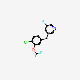 Fc1cncc([CH]c2ccc(Cl)c(OC(F)F)c2)c1